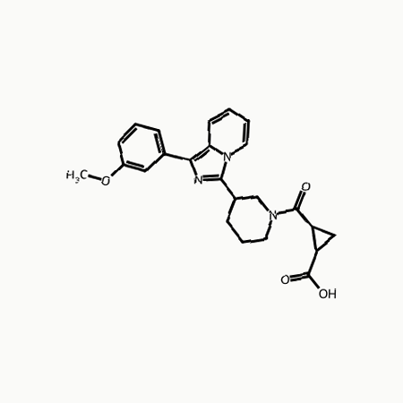 COc1cccc(-c2nc(C3CCCN(C(=O)C4CC4C(=O)O)C3)n3ccccc23)c1